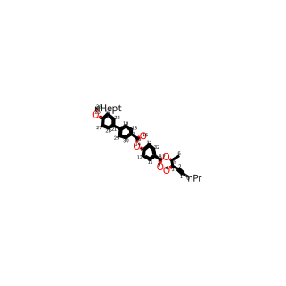 CCCC#CC(=O)C(C)OC(=O)c1ccc(OC(=O)c2ccc(-c3ccc(OCCCCCCC)cc3)cc2)cc1